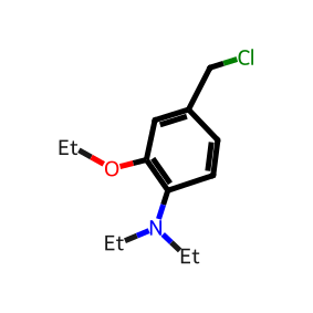 CCOc1cc(CCl)ccc1N(CC)CC